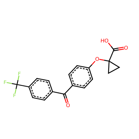 O=C(c1ccc(OC2(C(=O)O)CC2)cc1)c1ccc(C(F)(F)F)cc1